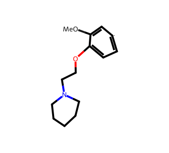 COc1c[c]ccc1OCCN1CCCCC1